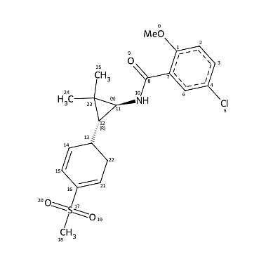 COc1ccc(Cl)cc1C(=O)N[C@H]1[C@H](C2C=CC(S(C)(=O)=O)=CC2)C1(C)C